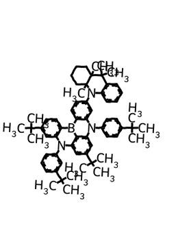 CC(C)(C)c1ccc(N2c3cc(N4c5ccccc5C(C)(C)C5(C)CCCCC45C)ccc3B3c4ccc(C(C)(C)C)cc4N(c4cccc(C(C)(C)C)c4)c4cc(C(C)(C)C)cc2c43)cc1